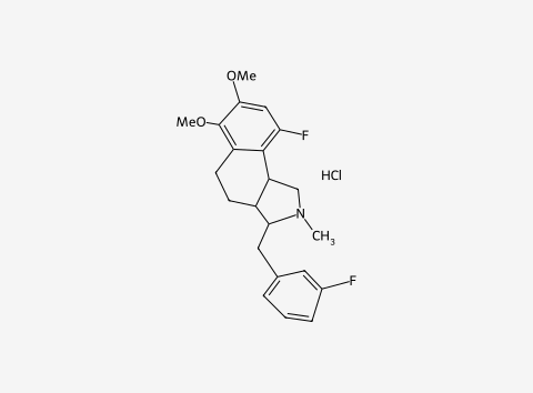 COc1cc(F)c2c(c1OC)CCC1C2CN(C)C1Cc1cccc(F)c1.Cl